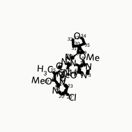 COc1ncnc(OC)c1-n1c(NS(=O)(=O)C(C)C(OC)c2ncc(Cl)cn2)nnc1[C@@H]1CC12CCOCC2